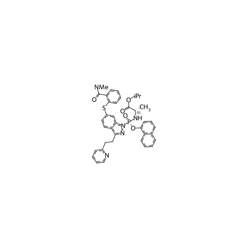 CNC(=O)c1ccccc1Sc1ccc2c(CCc3ccccn3)nn(P(=O)(N[C@@H](C)C(=O)OC(C)C)Oc3cccc4ccccc34)c2c1